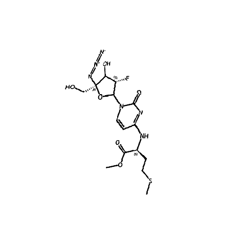 COC(=O)[C@H](CCSC)Nc1ccn(C2O[C@@](CO)(N=[N+]=[N-])C(O)[C@@H]2F)c(=O)n1